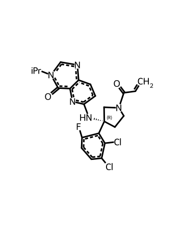 C=CC(=O)N1CC[C@@](Nc2ccc3ncn(C(C)C)c(=O)c3n2)(c2c(F)ccc(Cl)c2Cl)C1